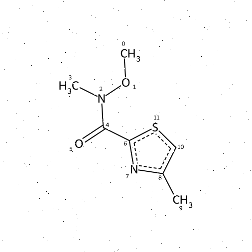 CON(C)C(=O)c1nc(C)cs1